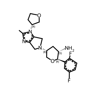 Cc1nc2c(n1[C@@H]1CCOC1)CN([C@H]1CO[C@H](c3cc(F)ccc3F)[C@@H](N)C1)C2